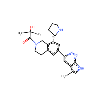 Cc1c[nH]c2nnc(-c3cc4c(c([C@@H]5CCCN5)c3)CN(C(=O)C(C)(O)C(F)(F)F)CC4)cc12